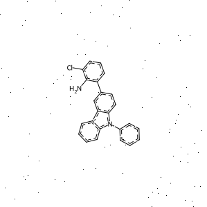 Nc1c(Cl)cccc1-c1ccc2c(c1)c1ccccc1n2-c1ccccc1